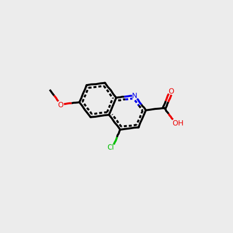 COc1ccc2nc(C(=O)O)cc(Cl)c2c1